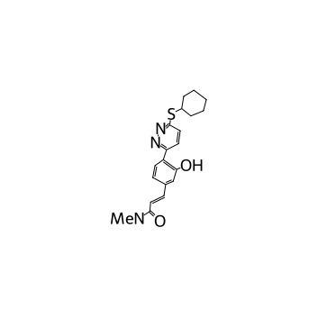 CNC(=O)/C=C/c1ccc(-c2ccc(SC3CCCCC3)nn2)c(O)c1